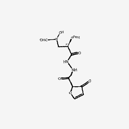 CCCCC[C@H](CN(O)C=O)C(=O)NNC(=O)C1OC=CC1=O